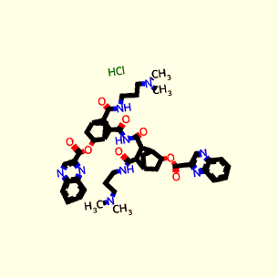 CN(C)CCCNC(=O)C1C2CC(OC(=O)c3cnc4ccccc4n3)C(C2)C1C(=O)NC(=O)C1C2CC(CC2OC(=O)c2cnc3ccccc3n2)C1C(=O)NCCCN(C)C.Cl